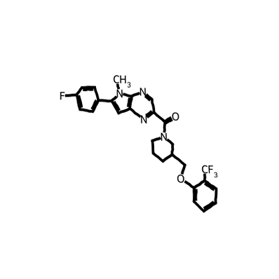 Cn1c(-c2ccc(F)cc2)cc2nc(C(=O)N3CCCC(COc4ccccc4C(F)(F)F)C3)cnc21